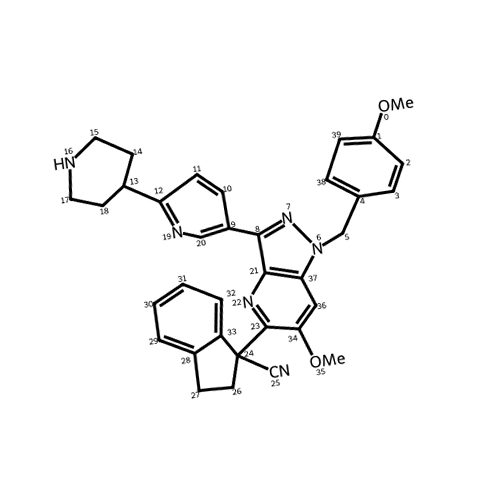 COc1ccc(Cn2nc(-c3ccc(C4CCNCC4)nc3)c3nc(C4(C#N)CCc5ccccc54)c(OC)cc32)cc1